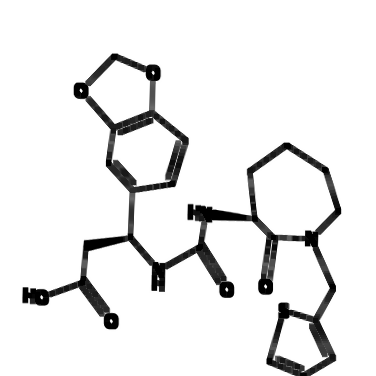 O=C(O)C[C@H](NC(=O)N[C@H]1CCCCN(Cc2cccs2)C1=O)c1ccc2c(c1)OCO2